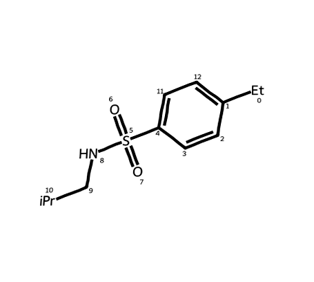 CCc1ccc(S(=O)(=O)NCC(C)C)cc1